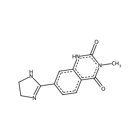 Cn1c(=O)[nH]c2cc(C3=NCCN3)ccc2c1=O